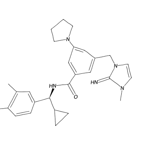 Cc1cc([C@@H](NC(=O)c2cc(Cn3ccn(C)c3=N)cc(N3CCCC3)c2)C2CC2)ccc1F